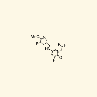 COc1ncc(CNc2cc(F)c(=O)n(CC(F)F)c2)cc1F